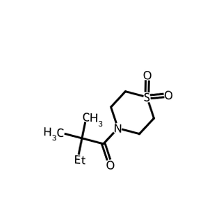 CCC(C)(C)C(=O)N1CCS(=O)(=O)CC1